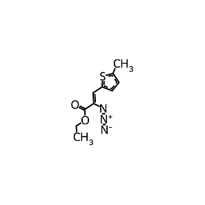 CCOC(=O)/C(=C/c1ccc(C)s1)N=[N+]=[N-]